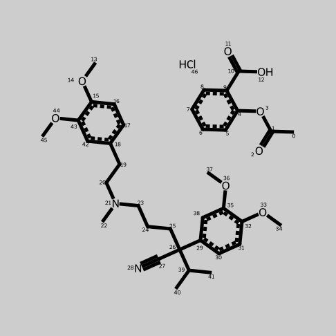 CC(=O)Oc1ccccc1C(=O)O.COc1ccc(CCN(C)CCCC(C#N)(c2ccc(OC)c(OC)c2)C(C)C)cc1OC.Cl